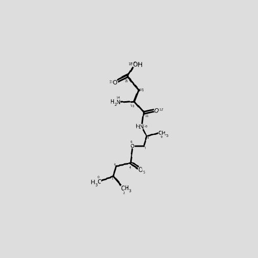 CC(C)CC(=O)OCC(C)NC(=O)C(N)CC(=O)O